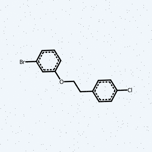 Clc1ccc(CCOc2cccc(Br)c2)cc1